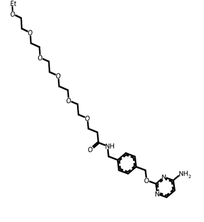 CCOCCOCCOCCOCCOCCOCCC(=O)NCc1ccc(COc2nccc(N)n2)cc1